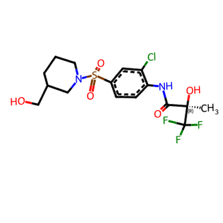 C[C@@](O)(C(=O)Nc1ccc(S(=O)(=O)N2CCCC(CO)C2)cc1Cl)C(F)(F)F